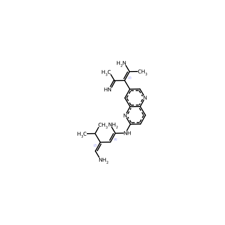 CC(=N)/C(=C(/C)N)c1cnc2ccc(N/C(N)=C/C(=C\N)C(C)C)nc2c1